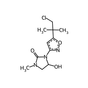 CN1CC(O)N(c2cc(C(C)(C)CCl)on2)C1=O